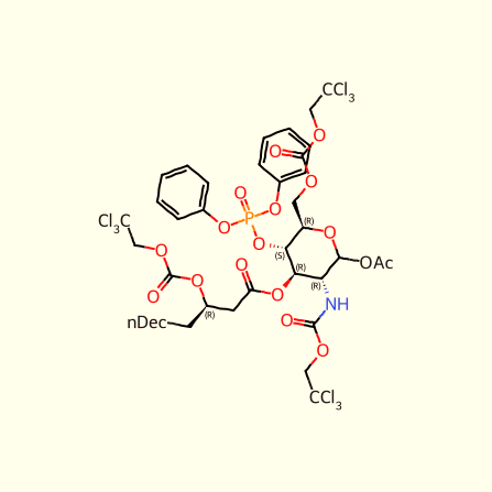 CCCCCCCCCCC[C@H](CC(=O)O[C@H]1[C@H](OP(=O)(Oc2ccccc2)Oc2ccccc2)[C@@H](COC(=O)OCC(Cl)(Cl)Cl)OC(OC(C)=O)[C@@H]1NC(=O)OCC(Cl)(Cl)Cl)OC(=O)OCC(Cl)(Cl)Cl